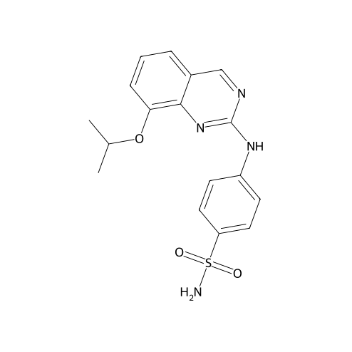 CC(C)Oc1cccc2cnc(Nc3ccc(S(N)(=O)=O)cc3)nc12